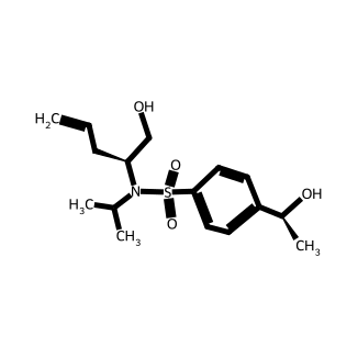 C=CC[C@@H](CO)N(C(C)C)S(=O)(=O)c1ccc([C@H](C)O)cc1